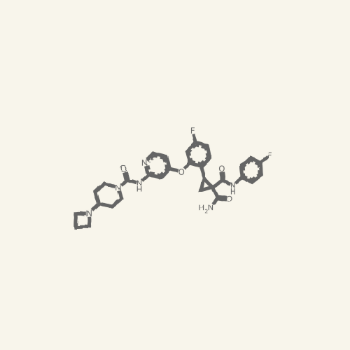 NC(=O)C1(C(=O)Nc2ccc(F)cc2)CC1c1ccc(F)cc1Oc1ccnc(NC(=O)N2CCC(N3CCC3)CC2)c1